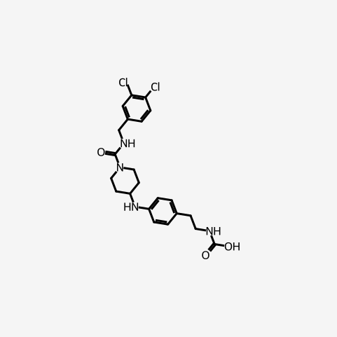 O=C(O)NCCc1ccc(NC2CCN(C(=O)NCc3ccc(Cl)c(Cl)c3)CC2)cc1